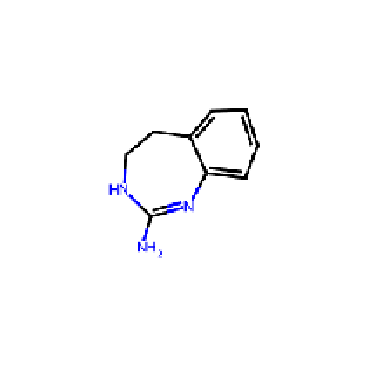 NC1=Nc2ccccc2CCN1